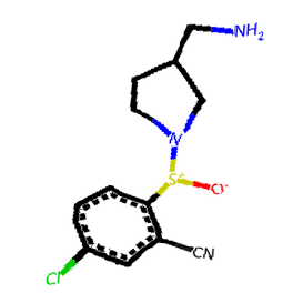 N#Cc1cc(Cl)ccc1[S+]([O-])N1CCC(CN)C1